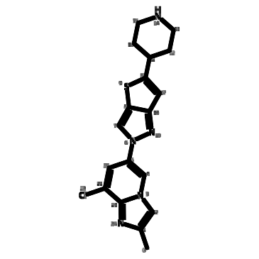 Cc1cn2cc(-n3cc4sc(C5CCNCC5)cc4n3)cc(Cl)c2n1